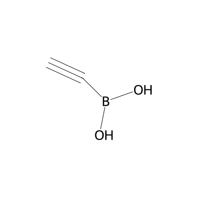 C#CB(O)O